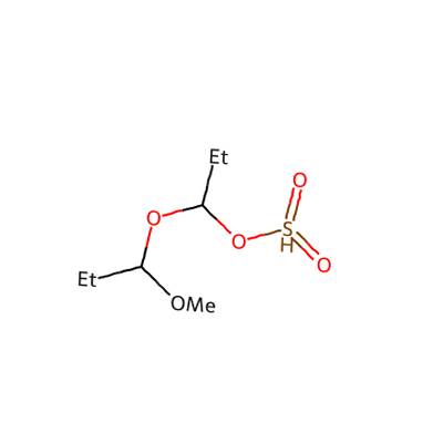 CCC(OC)OC(CC)O[SH](=O)=O